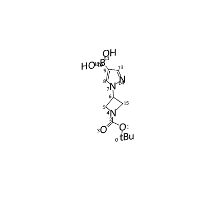 CC(C)(C)OC(=O)N1CC(n2cc(B(O)O)cn2)C1